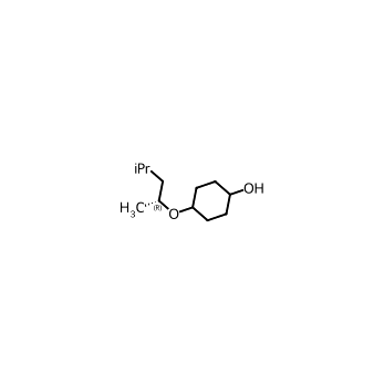 CC(C)C[C@@H](C)OC1CCC(O)CC1